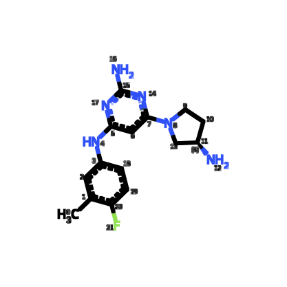 Cc1cc(Nc2cc(N3CC[C@@H](N)C3)nc(N)n2)ccc1F